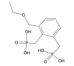 CCOCc1cccc(CP(=O)(O)O)c1CP(=O)(O)O